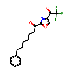 O=C(CCCCCCc1ccccc1)c1nc(C(=O)C(F)(F)F)co1